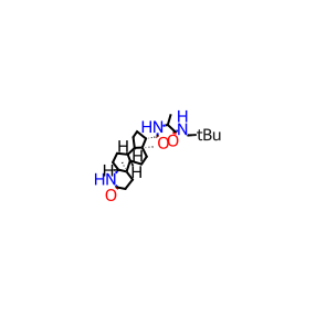 CC(NC(=O)[C@H]1CC[C@H]2[C@@H]3CC[C@H]4NC(=O)CC[C@]4(C)[C@H]3CC[C@]12C)C(=O)NCC(C)(C)C